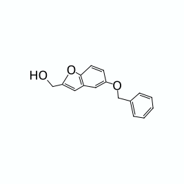 OCc1cc2cc(OCc3ccccc3)ccc2o1